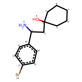 NC(CC1(O)CCCCC1)c1ccc(Br)cc1